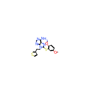 COc1ccc(OC)c(Sc2nc3c(N)ncnc3n2CCc2ccsc2)c1